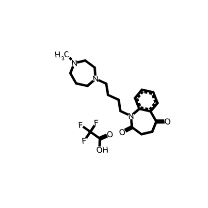 CN1CCCN(CCCCN2C(=O)CCC(=O)c3ccccc32)CC1.O=C(O)C(F)(F)F